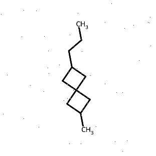 CCCC1CC2(CC(C)C2)C1